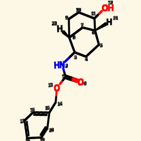 O=C(NC1CC[C@@H]2C[C@H]1CCC2O)OCc1ccccc1